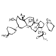 CC(=O)O[C@H]1[C@@H]([N+]2(C)CCCC2)C[C@H]2[C@@H]3CC[C@H]4C[C@H](O)[C@@H](N5CCC(O)CC5)C[C@]4(C)[C@H]3CC[C@@]21C